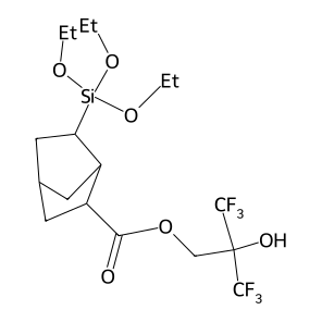 CCO[Si](OCC)(OCC)C1CC2CC(C(=O)OCC(O)(C(F)(F)F)C(F)(F)F)C1C2